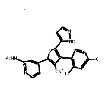 CC(=O)Nc1cc(-c2sc(-c3ccn[nH]3)c(-c3ccc(Cl)cc3Cl)c2C#N)ccn1